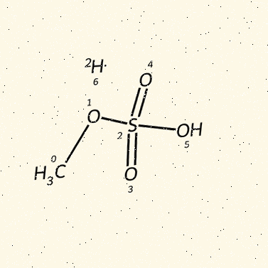 COS(=O)(=O)O.[2H]